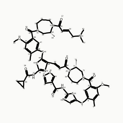 COc1cc(C)c(Sc2cnc(NC(=O)c3cnsc3)s2)cc1C(=O)N1CCCN(C(=O)/C=C/c2nc(NC(=O)C3CC3)sc2Sc2cc(C(=O)N3CCCN(C(=O)/C=C/CN(C)C)[C@H](C)C3)c(OC)cc2C)[C@H](C)C1